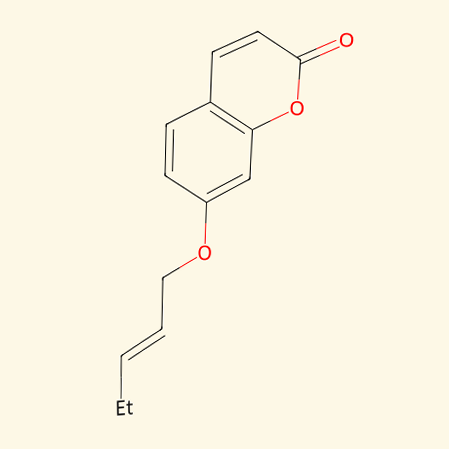 CC/C=C/COc1ccc2ccc(=O)oc2c1